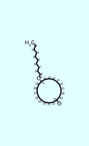 [CH2]CCCCCCCCCOC1CCCCCCCCC([O])CCCCCCCC1